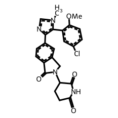 COc1ccc(Cl)cc1-c1c(-c2ccc3c(c2)CN(C2CCC(=O)NC2=O)C3=O)ncn1C